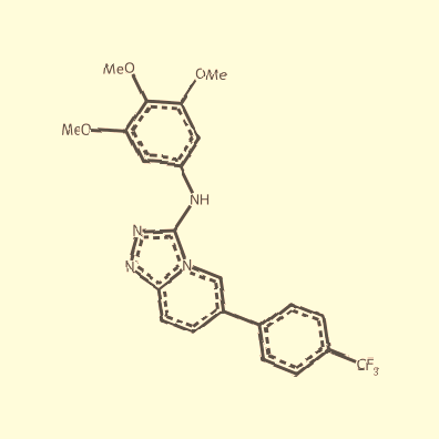 COc1cc(Nc2nnc3ccc(-c4ccc(C(F)(F)F)cc4)cn23)cc(OC)c1OC